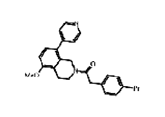 COc1ccc(-c2ccncc2)c2c1CCN(C(=O)Cc1ccc(C(C)C)cc1)C2